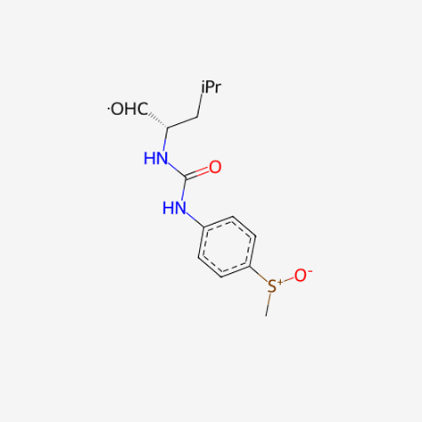 CC(C)C[C@@H]([C]=O)NC(=O)Nc1ccc([S+](C)[O-])cc1